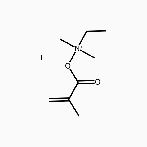 C=C(C)C(=O)O[N+](C)(C)CC.[I-]